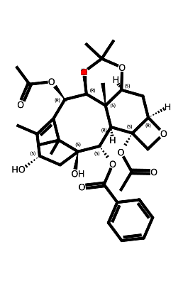 CC(=O)O[C@@H]1C2=C(C)[C@@H](O)C[C@@](O)([C@@H](OC(=O)c3ccccc3)[C@@H]3[C@]4(OC(C)=O)CO[C@@H]4C[C@@H]4OC(C)(C)O[C@@H]1[C@]43C)C2(C)C